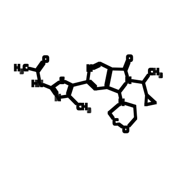 CC(=O)Nc1nc(C)c(-c2cc3c(cn2)C(=O)N(C(C)C2CC2)C3N2CCOCC2)s1